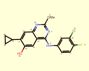 COc1nc(Nc2ccc(F)c(Cl)c2)c2cc(O)c(C3CC3)cc2n1